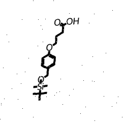 CC(C)(C)[Si](C)(C)OCc1ccc(OCCCC(=O)O)cc1